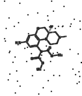 CN1CCN2c3c(cc(N)cc3N(C(=O)OC(C)(C)C)C(=O)OC(C)(C)C)OC[C@H]2C1